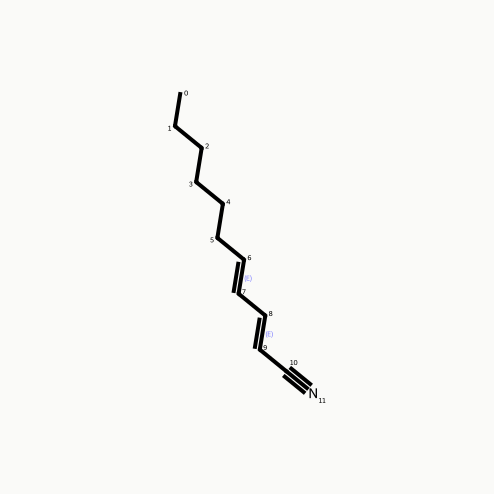 CCCCCC/C=C/C=C/C#N